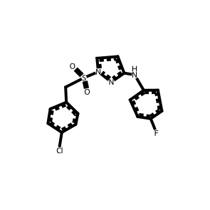 O=S(=O)(Cc1ccc(Cl)cc1)n1ccc(Nc2ccc(F)cc2)n1